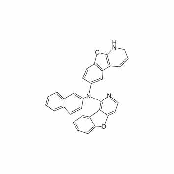 C1=Cc2c(oc3ccc(N(c4ccc5ccccc5c4)c4nccc5oc6ccccc6c45)cc23)NC1